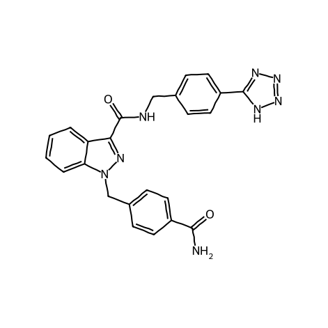 NC(=O)c1ccc(Cn2nc(C(=O)NCc3ccc(-c4nnn[nH]4)cc3)c3ccccc32)cc1